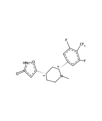 CN1CC[C@H](c2cc(=O)[nH]o2)C[C@@H]1c1cc(F)c(C(F)(F)F)c(F)c1